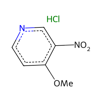 COc1ccncc1[N+](=O)[O-].Cl